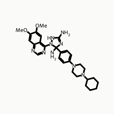 COc1cc2ncnc(N3NC(N)=NC3(N)c3ccc(N4CCN(C5CCCCC5)CC4)cc3)c2cc1OC